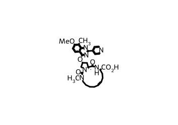 COc1ccc2c(OC3CC4C(=O)NC(C(=O)O)CCC=CCCCCN(C)C(=O)[N+]4C3)nc(-c3ccncc3)nc2c1C